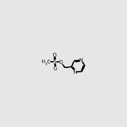 CS(=O)(=O)OCc1cnccn1